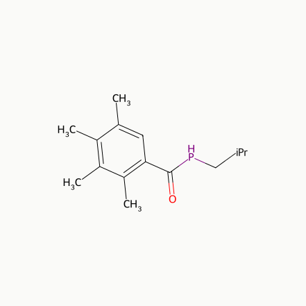 Cc1cc(C(=O)PCC(C)C)c(C)c(C)c1C